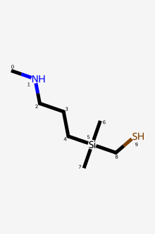 CNCCC[Si](C)(C)CS